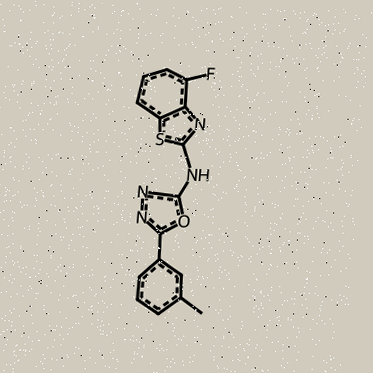 Cc1cccc(-c2nnc(Nc3nc4c(F)cccc4s3)o2)c1